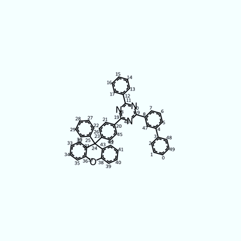 c1ccc(-c2cccc(-c3nc(-c4ccccc4)nc(-c4ccc(C5(c6ccccc6)c6ccccc6Oc6ccccc65)cc4)n3)c2)cc1